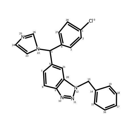 Clc1ccc(C(c2ccc3nnn(Cc4ccccc4)c3c2)n2ccnc2)cc1